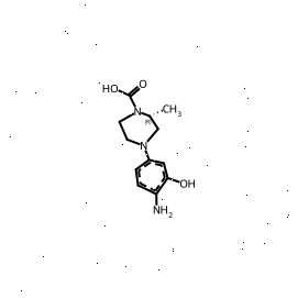 C[C@@H]1CN(c2ccc(N)c(O)c2)CCN1C(=O)O